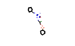 Cc1ccc(S(=O)(=O)OCC(F)Cn2nc(N(C)Cc3ccccc3)n(C)c2=O)cc1